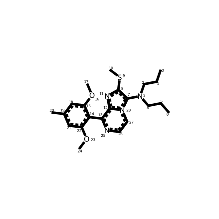 CCCN(CCC)c1c(SC)nc2c(-c3c(OC)cc(C)cc3OC)nccn12